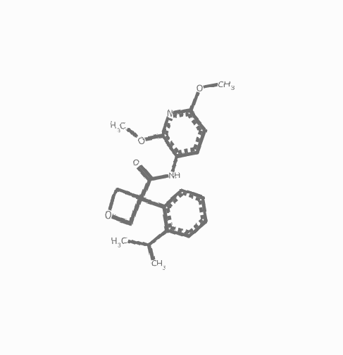 COc1ccc(NC(=O)C2(c3ccccc3C(C)C)COC2)c(OC)n1